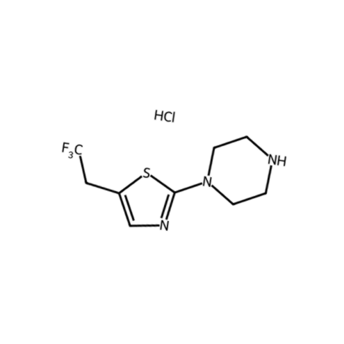 Cl.FC(F)(F)Cc1cnc(N2CCNCC2)s1